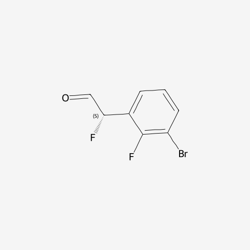 O=C[C@@H](F)c1cccc(Br)c1F